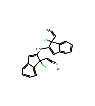 C=CC1(Cl)C([SiH2]C2=Cc3ccccc3C2(Cl)C=C)=Cc2ccccc21.[Zr]